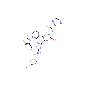 O=C(Cn1cc(-c2ccccc2)c(-c2cc(NCc3ccc(Cl)s3)n(C(=O)c3cscn3)n2)cc1=O)c1cnccn1